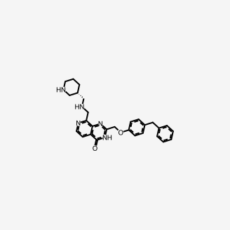 O=c1[nH]c(COc2ccc(Cc3ccccc3)cc2)nc2c(CNC[C@H]3CCCNC3)nccc12